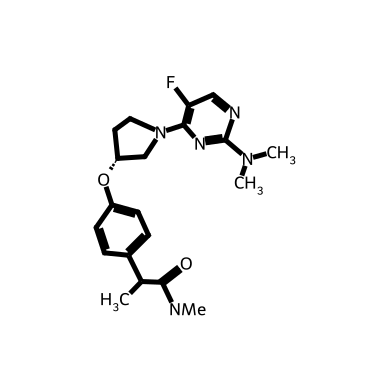 CNC(=O)C(C)c1ccc(O[C@@H]2CCN(c3nc(N(C)C)ncc3F)C2)cc1